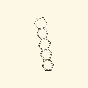 c1ccc2cc3cc4cc5c(cc4cc3cc2c1)CCOC5